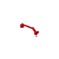 Cn1c(=O)n(C2C(=O)CCNC2=O)c2ccc(CCCOCCOCCOCCOCC(=O)N3CCN(C4CCC(Nc5ncnc6[nH]cc(C7CCOCC7)c56)CC4)CC3)cc21